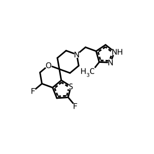 Cc1n[nH]cc1CN1CCC2(CC1)OCC(F)c1cc(F)sc12